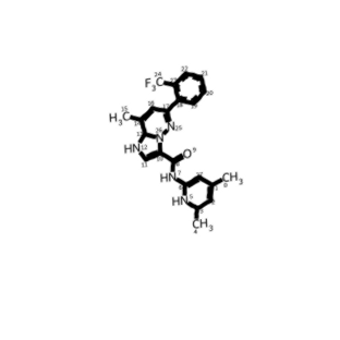 CC1=CC(C)NC(NC(=O)C2=CNC3C(C)=CC(c4ccccc4C(F)(F)F)=NN23)=C1